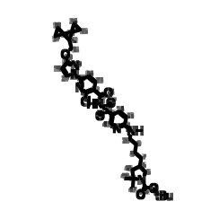 CC(C)(C)OC(=O)N1CC(CCCCNc2ccc(S(=O)(=O)NC(=O)c3ccc(-n4ccc(OCC5C6(CC6)C56CC6)n4)nc3Cl)cn2)CC1(C)C